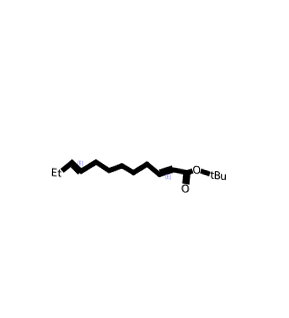 CC/C=C/CCCCC/C=C/C(=O)OC(C)(C)C